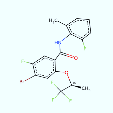 Cc1cccc(F)c1NC(=O)c1cc(F)c(Br)cc1O[C@@H](C)C(F)(F)F